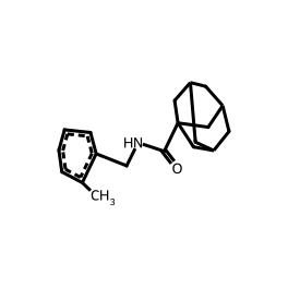 Cc1ccccc1CNC(=O)C12CC3CC(CC(C3)C1)C2